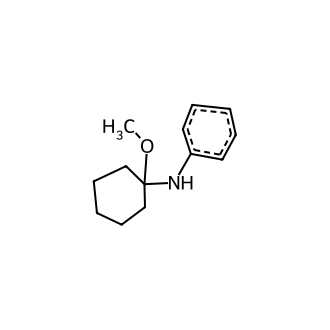 COC1(Nc2ccccc2)CCCCC1